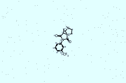 O=C1C2C[N@]3CC[N+]2(C3)C(=O)N1c1cccc(C(F)(F)F)c1